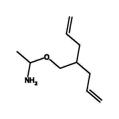 C=CCC(CC=C)COC(C)N